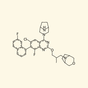 CC(COc1nc(N2CC3CCC(C2)N3)c2cc(Cl)c(-c3cccc4ccc(F)cc34)c(F)c2n1)CN1C2CCC1COC2